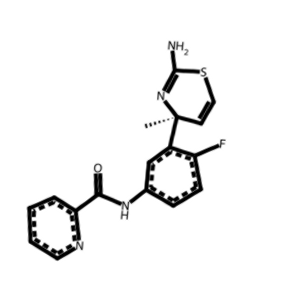 C[C@@]1(c2cc(NC(=O)c3ccccn3)ccc2F)C=CSC(N)=N1